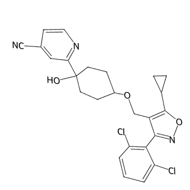 N#Cc1ccnc(C2(O)CCC(OCc3c(-c4c(Cl)cccc4Cl)noc3C3CC3)CC2)c1